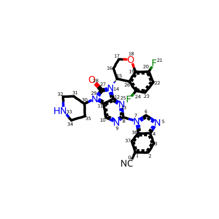 N#Cc1ccc2ncn(-c3ncc4c(n3)n([C@@H]3CCOc5c(F)ccc(F)c53)c(=O)n4C3CCNCC3)c2c1